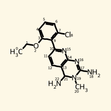 CCOc1cccc(Cl)c1-c1ccc2c(n1)N=C(N)N(C)C2N